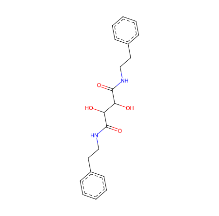 O=C(NCCc1ccccc1)C(O)C(O)C(=O)NCCc1ccccc1